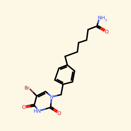 NC(=O)CCCCCc1ccc(Cn2cc(Br)c(=O)[nH]c2=O)cc1